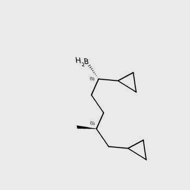 B[C@@H](CC[C@H](C)CC1CC1)C1CC1